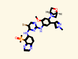 COc1cc(N2C[C@H]3C[C@@H]2CO3)c(-c2cnn(C)c2)cc1Nc1ncc(Br)c(Nc2ccc3nccnc3c2P(C)(C)=O)n1